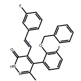 Cc1n[nH]c(=O)c(/C=C/c2cccc(F)c2)c1-c1cccc(F)c1OCc1ccccc1